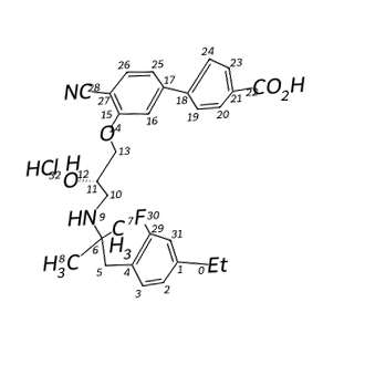 CCc1ccc(CC(C)(C)NC[C@H](O)COc2cc(-c3ccc(C(=O)O)cc3)ccc2C#N)c(F)c1.Cl